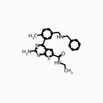 CCNC(=O)c1cc2c(-c3cc(CNCc4ccccc4)ccc3C)nc(N)nc2s1